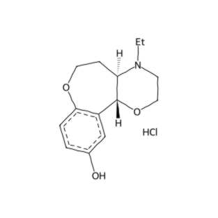 CCN1CCO[C@@H]2c3cc(O)ccc3OCC[C@H]21.Cl